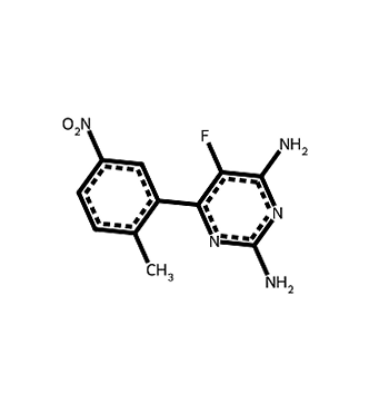 Cc1ccc([N+](=O)[O-])cc1-c1nc(N)nc(N)c1F